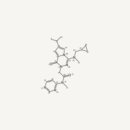 CC(C)c1cc2c(=O)n(CC(=O)N(C)c3ccncn3)nc(N(C)CC3CC3)n2c1